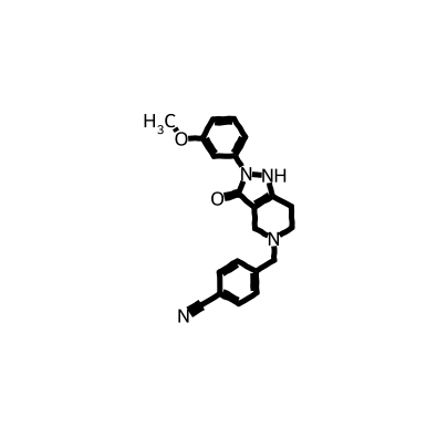 COc1cccc(-n2[nH]c3c(c2=O)CN(Cc2ccc(C#N)cc2)CC3)c1